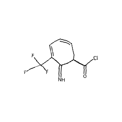 N=C1C(C(F)(F)F)=CC=CC1C(=O)Cl